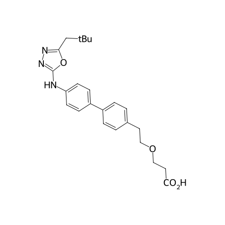 CC(C)(C)Cc1nnc(Nc2ccc(-c3ccc(CCOCCC(=O)O)cc3)cc2)o1